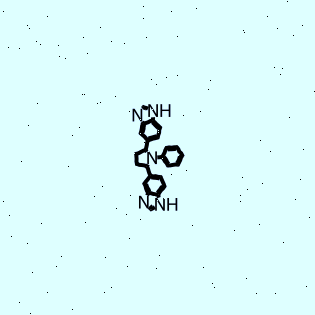 c1ccc(N2C(c3ccc4[nH]cnc4c3)CCC2c2ccc3[nH]cnc3c2)cc1